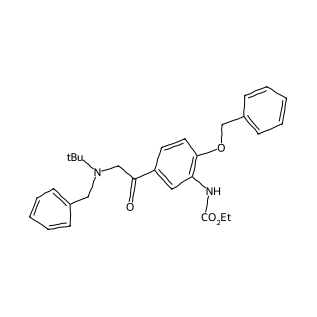 CCOC(=O)Nc1cc(C(=O)CN(Cc2ccccc2)C(C)(C)C)ccc1OCc1ccccc1